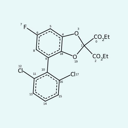 CCOC(=O)C1(C(=O)OCC)Oc2cc(F)cc(-c3c(Cl)cccc3Cl)c2O1